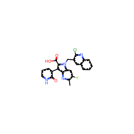 Cc1nc2c(-c3ccc[nH]c3=O)c(C(=O)O)n(Cc3cc4ccccc4nc3Cl)c2cc1F